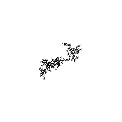 CC[C@]1(O)C[C@H]2CN(CCc3c([nH]c4ccccc34)[C@@](C(=O)OC)(c3cc4c(cc3OC)N(C)[C@H]3[C@@](O)(C(=O)NNC(=O)OCCSSC[C@H](NC(=O)[C@@H](NC(=O)[C@H](CCC(=O)O)NC)[C@@H](O)[C@H](O)[C@H](O)CO)C(=O)O)[C@H](O)[C@]5(CC)C=CCN6CC[C@]43[C@@H]65)C2)C1